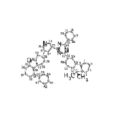 CC1(C)c2ccccc2-c2cc(-c3nc(-c4ccccc4)nc(-c4cncc(-c5ccc6c(c5)oc5cccc(-c7ccccc7)c56)c4)n3)ccc21